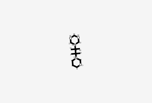 CC(C)(N1CCCOC1)C(C)(C)N1COCOC1